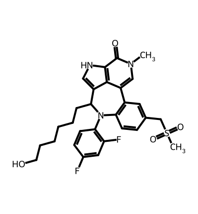 Cn1cc2c3c(c[nH]c3c1=O)C(CCCCCCO)N(c1ccc(F)cc1F)c1ccc(CS(C)(=O)=O)cc1-2